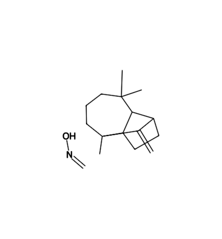 C=C1C2CCC3C2C(C)(C)CCCC13C.C=NO